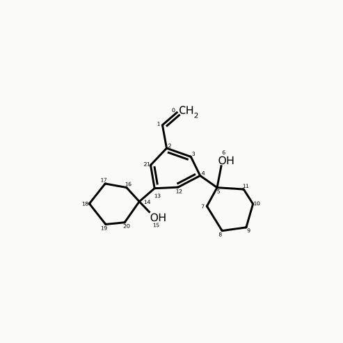 C=Cc1cc(C2(O)CCCCC2)cc(C2(O)CCCCC2)c1